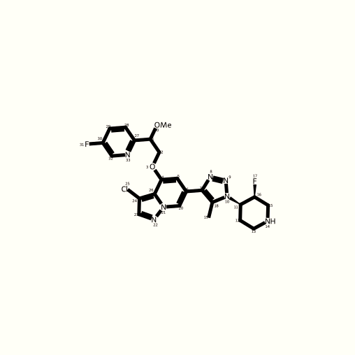 COC(COc1cc(-c2nnn([C@@H]3CCNC[C@@H]3F)c2C)cn2ncc(Cl)c12)c1ccc(F)cn1